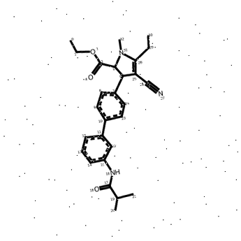 CCOC(=O)C1C(c2ccc(-c3cccc(NC(=O)C(C)C)c3)cc2)C(C#N)=C(CC)N1C